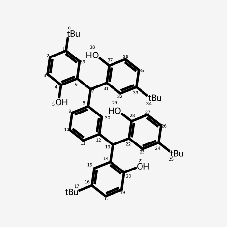 CC(C)(C)c1ccc(O)c(C(c2cccc(C(c3cc(C(C)(C)C)ccc3O)c3cc(C(C)(C)C)ccc3O)c2)c2cc(C(C)(C)C)ccc2O)c1